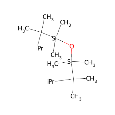 CC(C)C(C)(C)[Si](C)(C)O[Si](C)(C)C(C)(C)C(C)C